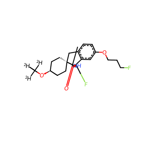 [2H]C([2H])([2H])O[C@H]1CC[C@]2(CC1)Cc1ccc(OCCCF)cc1C21C=C(F)C(=O)N1